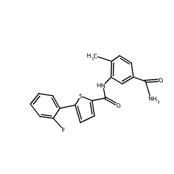 Cc1ccc(C(N)=O)cc1NC(=O)c1ccc(-c2ccccc2F)s1